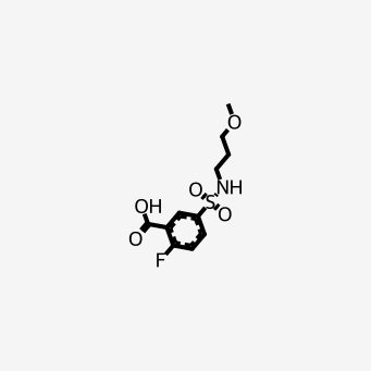 COCCCNS(=O)(=O)c1ccc(F)c(C(=O)O)c1